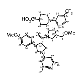 COC[C@H]1CN(C(=O)[C@@H]2CN(c3cc(C)nc(C)c3)C[C@H]2c2ccc(OC)cc2)C[C@@H]1c1ccc(C(F)(F)F)cc1N1CCC(C(=O)O)CC1